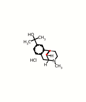 CN1CC[C@]23CCCC[C@H]2[C@H]1Cc1ccc(C(C)(C)O)cc13.Cl